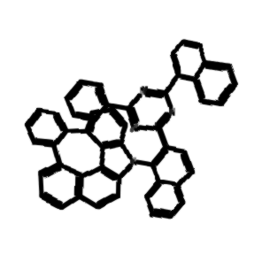 c1ccc(-c2nc(-c3ccc4ccccc4c3-n3c4cccc5c4c4c6c(cccc6ccc43)-c3ccccc3-5)nc(-c3cccc4ccccc34)n2)cc1